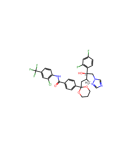 CC(CC1(c2ccc(C(=O)Nc3ccc(C(F)(F)F)cc3Cl)cc2)OCCCO1)[C@@](O)(Cn1cncn1)c1ccc(F)cc1F